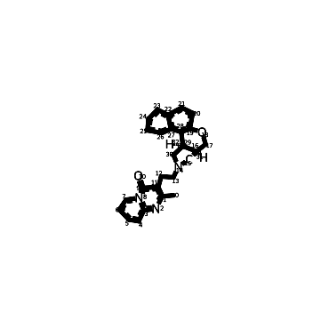 Cc1nc2ccccn2c(=O)c1CCN1C[C@@H]2COc3ccc4ccccc4c3[C@@H]2C1